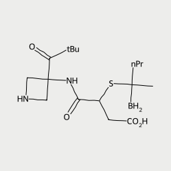 BC(C)(CCC)SC(CC(=O)O)C(=O)NC1(C(=O)C(C)(C)C)CNC1